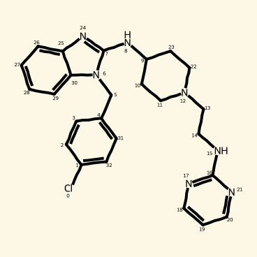 Clc1ccc(Cn2c(NC3CCN(CCNc4ncccn4)CC3)nc3ccccc32)cc1